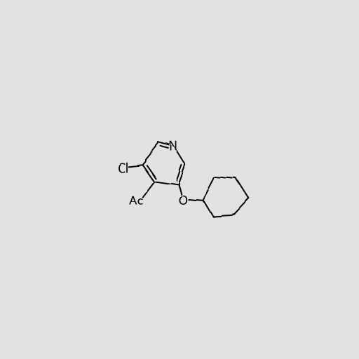 CC(=O)c1c(Cl)cncc1OC1CCCCC1